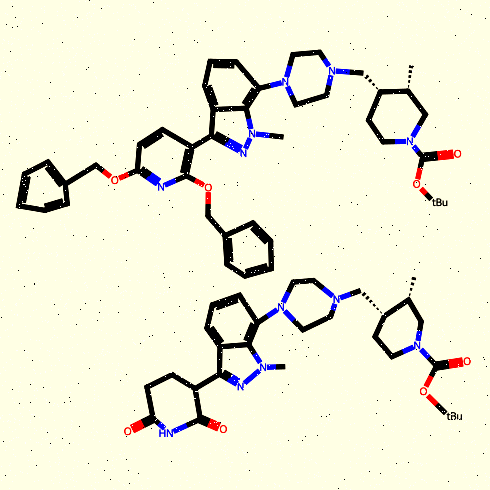 C[C@@H]1CN(C(=O)OC(C)(C)C)CC[C@@H]1CN1CCN(c2cccc3c(-c4ccc(OCc5ccccc5)nc4OCc4ccccc4)nn(C)c23)CC1.C[C@@H]1CN(C(=O)OC(C)(C)C)CC[C@@H]1CN1CCN(c2cccc3c(C4CCC(=O)NC4=O)nn(C)c23)CC1